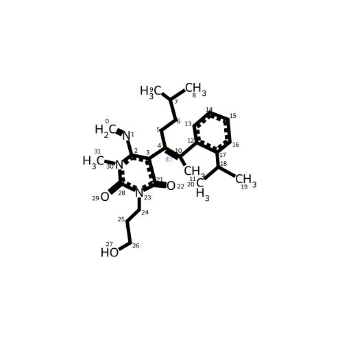 C=Nc1c(/C(CCC(C)C)=C(\C)c2ccccc2C(C)C)c(=O)n(CCCO)c(=O)n1C